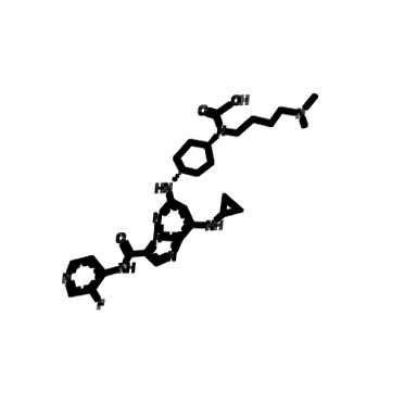 CN(C)CCCCN(C(=O)O)[C@H]1CC[C@H](Nc2cc(NC3CC3)c3ncc(C(=O)Nc4ccncc4F)n3n2)CC1